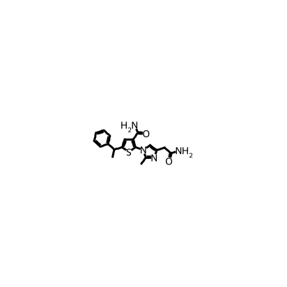 Cc1nc(CC(N)=O)cn1-c1sc(C(C)c2ccccc2)cc1C(N)=O